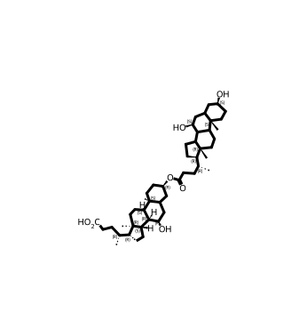 C[C@H](CCC(=O)O)[C@H]1CC[C@H]2[C@@H]3[C@H](O)CC4C[C@H](OC(=O)CC[C@@H](C)[C@H]5CCC6C7C(CC[C@@]65C)[C@@]5(C)CC[C@H](O)CC5C[C@@H]7O)CC[C@]4(C)[C@H]3CC[C@]12C